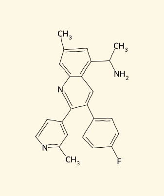 Cc1cc(C(C)N)c2cc(-c3ccc(F)cc3)c(-c3ccnc(C)c3)nc2c1